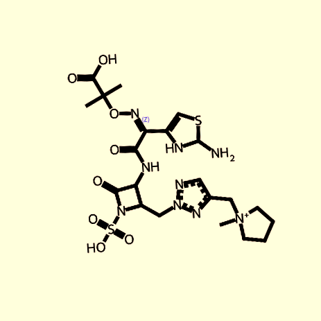 CC(C)(O/N=C(\C(=O)NC1C(=O)N(S(=O)(=O)O)C1Cn1ncc(C[N+]2(C)CCCC2)n1)C1=CSC(N)N1)C(=O)O